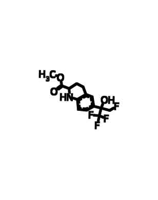 COC(=O)C1CCc2cc(C(O)(CF)C(F)(F)F)ccc2N1